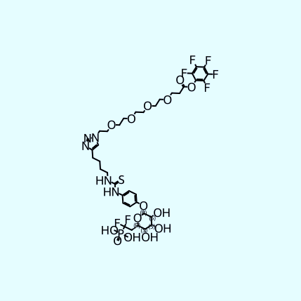 O=C(CCOCCOCCOCCOCCn1cc(CCCCNC(=S)Nc2ccc(O[C@H]3O[C@H](CC(F)(F)P(=O)(O)O)[C@@H](O)[C@H](O)[C@@H]3O)cc2)nn1)Oc1c(F)c(F)c(F)c(F)c1F